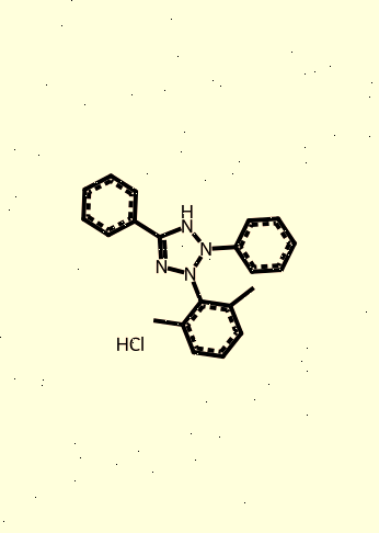 Cc1cccc(C)c1N1N=C(c2ccccc2)NN1c1ccccc1.Cl